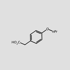 [CH2]CCOc1ccc(CC(=O)O)cc1